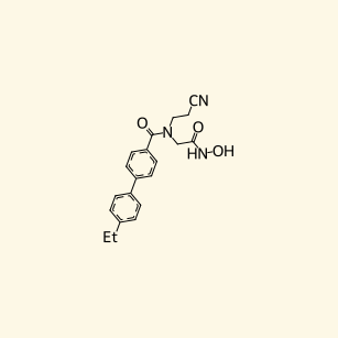 CCc1ccc(-c2ccc(C(=O)N(CCC#N)CC(=O)NO)cc2)cc1